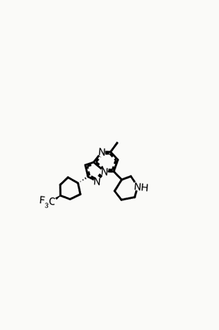 Cc1cc(C2CCCNC2)n2nc([C@H]3CC[C@H](C(F)(F)F)CC3)cc2n1